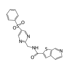 O=C(NCc1ncc(S(=O)(=O)c2ccccc2)cn1)c1cc2ccncc2s1